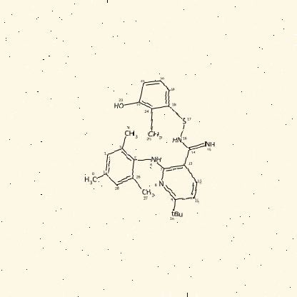 Cc1cc(C)c(Nc2nc(C(C)(C)C)ccc2C(=N)NSc2cccc(O)c2C)c(C)c1